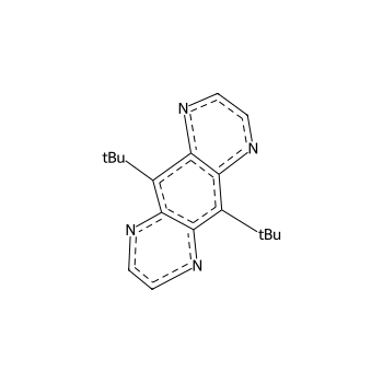 CC(C)(C)c1c2nccnc2c(C(C)(C)C)c2nccnc12